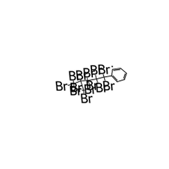 BrC(Br)(Br)C(Br)(C(Br)(Br)Br)C(Br)(Br)C(Br)(Br)C(Br)(Br)c1[c]cccc1